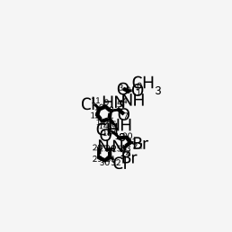 COC(=O)NNC(=O)c1cc(Cl)cc(C)c1NC(=O)c1cc(Br)c(Br)n1-c1ncccc1Cl